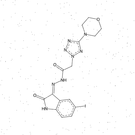 O=C(Cn1nnc(N2CCOCC2)n1)N/N=C1/C(=O)Nc2ccc(I)cc21